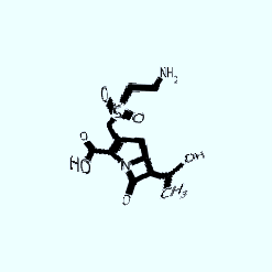 CC(O)C1C(=O)N2C(C(=O)O)=C(CS(=O)(=O)CCN)CC12